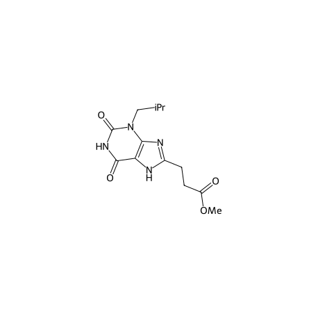 COC(=O)CCc1nc2c([nH]1)c(=O)[nH]c(=O)n2CC(C)C